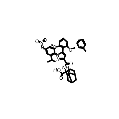 COc1cccc(OC)c1-c1cc(C(=O)NC2(C(=O)O)C3CC4CC(C3)CC2C4)nn1-c1ccc(N=S(=O)=O)cc1C(C)C.Cc1ccccc1